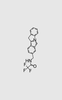 O=C(NCc1ccc2c3n(cc2c1)-c1ccccc1C3)C(F)(F)F